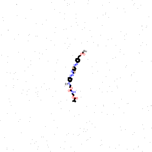 C=C(C)C(=O)OCCNC(=O)OCCN(CC)c1ccc(N=Nc2nc3sc(N=Nc4ccc(CCOC(=O)C(C)CC)cc4)cc3s2)cc1